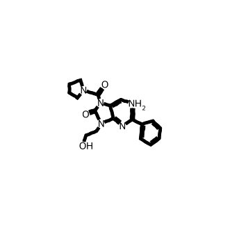 C=C(/N=C1\C(=C/N)N(C(=O)N2CCCC2)C(=O)N1CCO)c1ccccc1